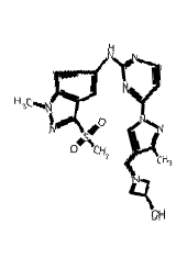 Cc1nn(-c2ccnc(Nc3ccc4c(c3)c(S(C)(=O)=O)nn4C)n2)cc1CN1CC(O)C1